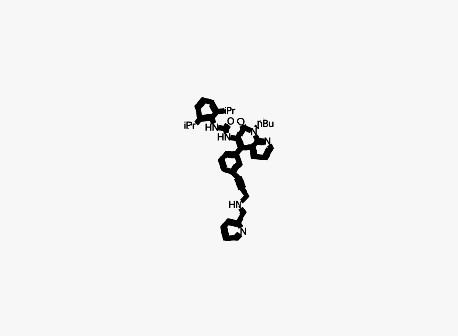 CCCCn1c(=O)c(NC(=O)Nc2c(C(C)C)cccc2C(C)C)c(-c2cccc(C#CCNCc3ccccn3)c2)c2cccnc21